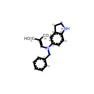 O=C(O)C(=CN(Cc1ccccc1)c1ccc2c(c1)CCN2)C(=O)O